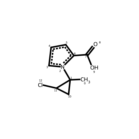 CC1(n2cccc2C(=O)O)CC1Cl